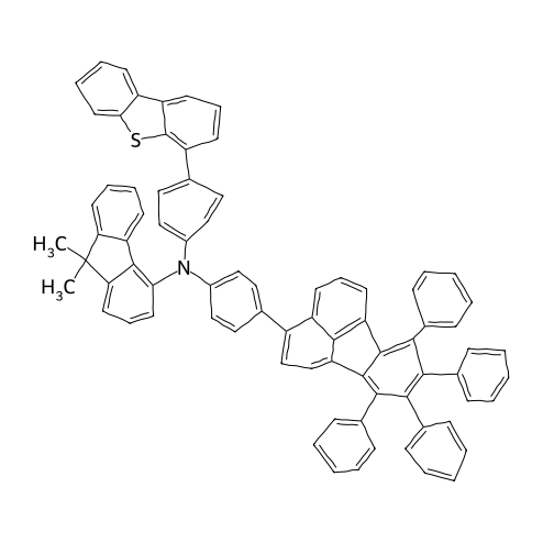 CC1(C)c2ccccc2-c2c(N(c3ccc(-c4ccc5c6c(cccc46)-c4c(-c6ccccc6)c(-c6ccccc6)c(-c6ccccc6)c(-c6ccccc6)c4-5)cc3)c3ccc(-c4cccc5c4sc4ccccc45)cc3)cccc21